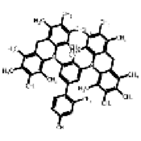 Cc1c(C)c(C)c2c(c1C)Cc1c(C)c(C)c(C)c(C)c1N2c1cc(-c2ccc(C#N)cc2C(F)(F)F)cc(N2c3c(C)c(C)c(C)c(C)c3Cc3c(C)c(C)c(C)c(C)c32)c1C#N